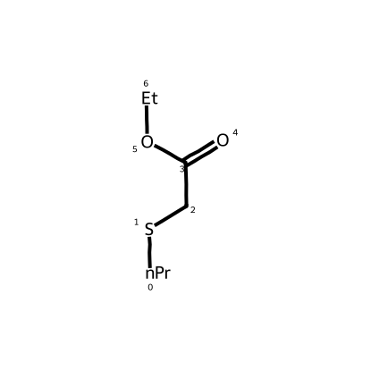 CCCSCC(=O)OCC